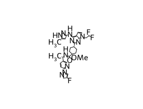 CO[C@]1(C(=O)N[C@@H](C)c2ccc(-n3cc(F)cn3)nc2)CC[C@H](c2nc(Nc3cc(C)[nH]n3)c3ccn(CC(F)F)c3n2)CC1